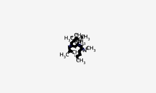 C=C(C)/C=C(\C/C(C)=C\C(CCCC)=N/C)CC(C)(C)C(=C)OC